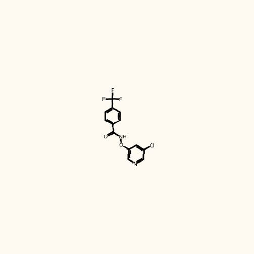 O=C(NOc1cncc(Cl)c1)c1ccc(C(F)(F)F)cc1